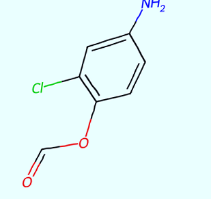 Nc1ccc(OC=O)c(Cl)c1